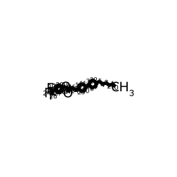 CCCCCCC1CCC(C2CCC(CCC(=O)Oc3ccc(C(F)(F)F)cc3)CC2)CC1